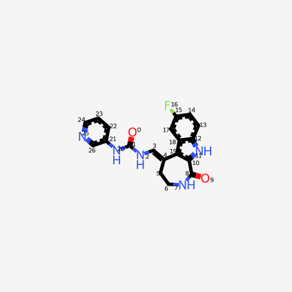 O=C(N/C=C1\CCNC(=O)c2[nH]c3ccc(F)cc3c21)Nc1cccnc1